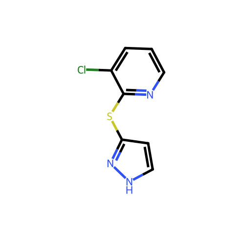 Clc1cccnc1Sc1cc[nH]n1